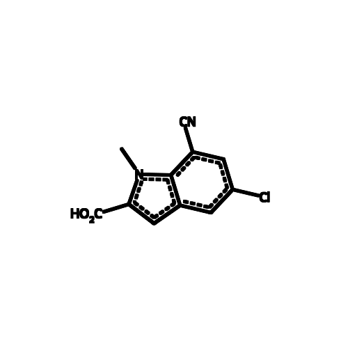 Cn1c(C(=O)O)cc2cc(Cl)cc(C#N)c21